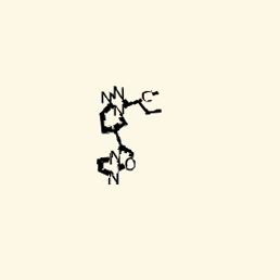 CCC(CC)c1nnc2ccc(-c3coc4nccn34)cn12